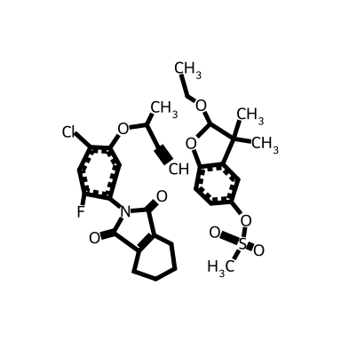 C#CC(C)Oc1cc(N2C(=O)C3=C(CCCC3)C2=O)c(F)cc1Cl.CCOC1Oc2ccc(OS(C)(=O)=O)cc2C1(C)C